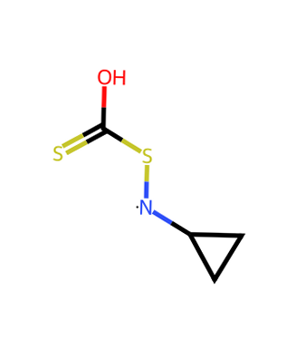 OC(=S)S[N]C1CC1